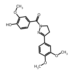 COc1cc(C(=O)N2CCC(c3ccc(OC)c(OC)c3)=N2)ccc1O